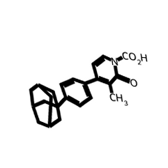 Cc1c(-c2ccc(C34CC5CC(CC(C5)C3)C4)cc2)ccn(C(=O)O)c1=O